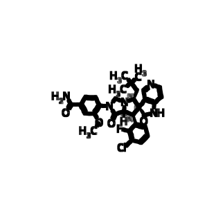 COc1cc(C(N)=O)ccc1N1CN2[C@@H](CC(C)(C)C)[C@@]3(C(=O)Nc4ccncc43)[C@@H](c3cccc(Cl)c3F)[C@@H]2C1=O